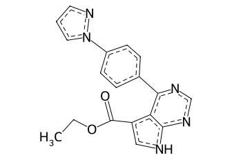 CCOC(=O)c1c[nH]c2ncnc(-c3ccc(-n4cccn4)cc3)c12